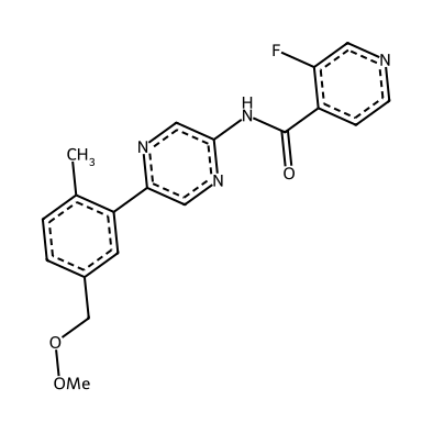 COOCc1ccc(C)c(-c2cnc(NC(=O)c3ccncc3F)cn2)c1